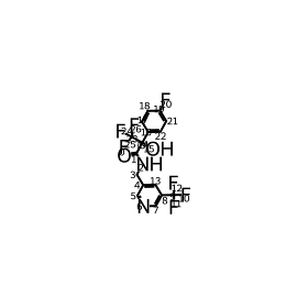 O=C(NCc1cncc(C(F)(F)F)c1)[C@@](O)(c1ccc(F)cc1)C(F)(F)F